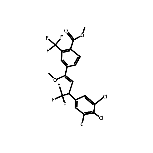 COC(=O)c1ccc(/C(=C/C(c2cc(Cl)c(Cl)c(Cl)c2)C(F)(F)F)OC)cc1C(F)(F)F